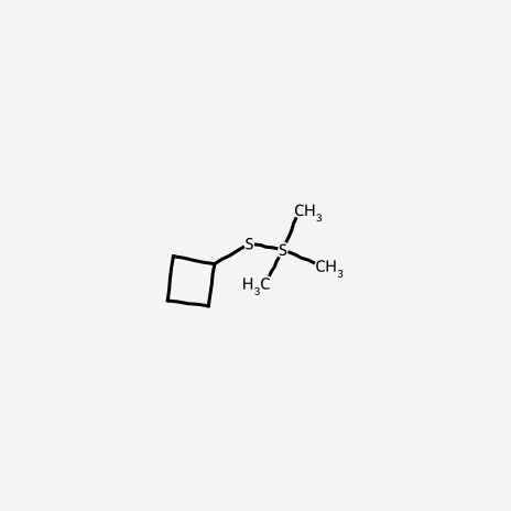 CS(C)(C)SC1CCC1